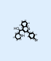 OC(c1cc(-c2ccc(Br)cc2)nc2ccccc12)C1CCCCN1